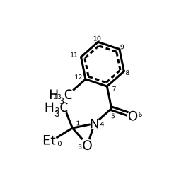 CCC1(C)ON1C(=O)c1ccccc1C